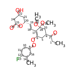 CCC(=O)C1CC(OOc2ccc(F)c(C)c2)=C(C=C[C@H]2C[C@H](O)CC(=O)O2)C(OC)(OC)C1